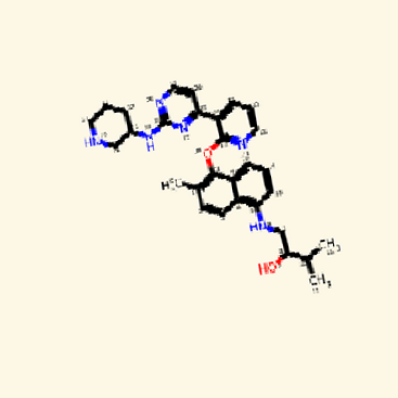 Cc1ccc2c(NCC(O)C(C)C)cccc2c1Oc1ncccc1-c1ccnc(NC2CCCNC2)n1